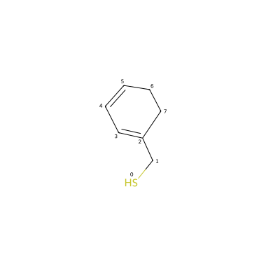 SCC1=CC=CCC1